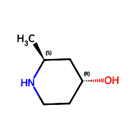 C[C@H]1C[C@H](O)CCN1